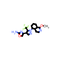 COc1nccc2c(-n3ncc(-c4coc(N)n4)c3C(F)(F)F)cccc12